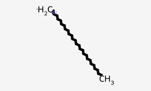 [CH2]/C=C/CCCCCCCCCCCCCCCCCCCCCCCCCC